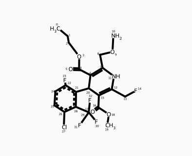 CCCOC(=O)C1=C(CON)NC(CF)=C(C(=O)OC)C1c1c(F)ccc(Cl)c1C(F)(F)F